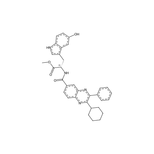 COC(=O)[C@H](Cc1c[nH]c2ccc(O)cc12)NC(=O)c1ccc2nc(C3CCCCC3)c(-c3ccccc3)nc2c1